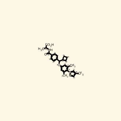 Cc1cc(OC(c2ccc(C(=O)NC(C)C(=O)O)cc2)C2CCC2)cc(C)c1-n1cc(C(F)(F)F)cn1